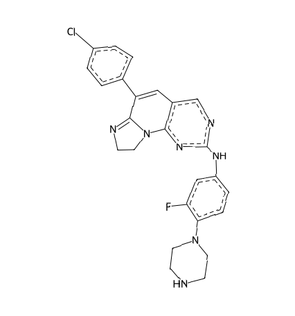 Fc1cc(Nc2ncc3c(n2)N2CCN=C2C(c2ccc(Cl)cc2)=C3)ccc1N1CCNCC1